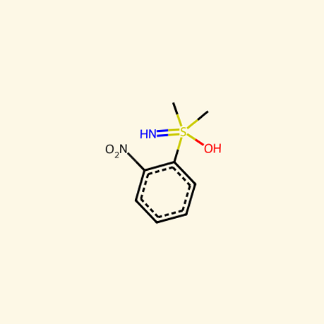 CS(C)(=N)(O)c1ccccc1[N+](=O)[O-]